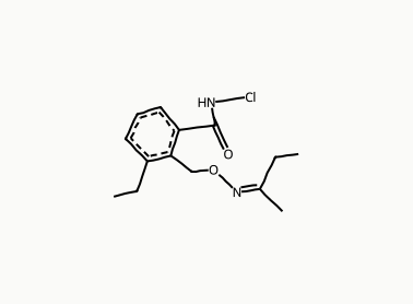 CCC(C)=NOCc1c(CC)cccc1C(=O)NCl